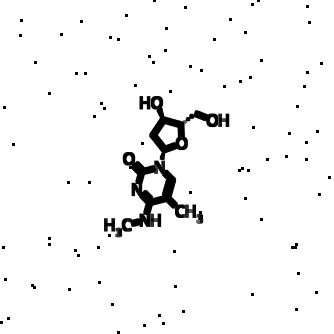 CNc1nc(=O)n([C@@H]2C[C@@H](O)[C@H](CO)O2)cc1C